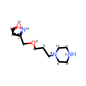 c1cc(COCCCN2CCNCC2)no1